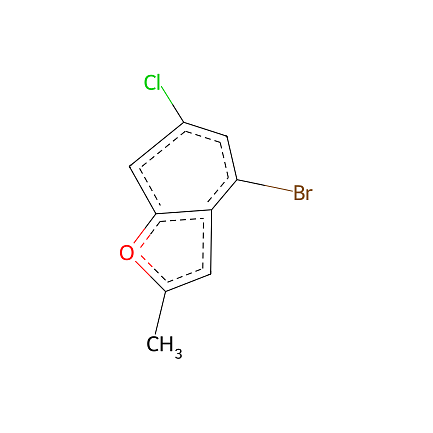 Cc1cc2c(Br)cc(Cl)cc2o1